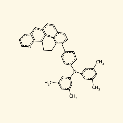 Cc1cc(C)cc(N(c2ccc(-c3ccc4ccc5cc6cccnc6c6c5c4c3CC6)cc2)c2cc(C)cc(C)c2)c1